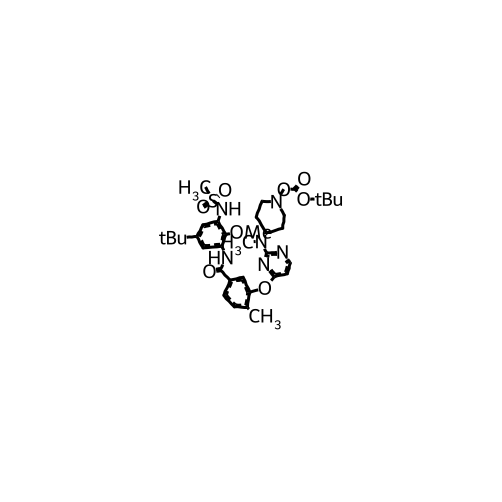 COc1c(NC(=O)c2ccc(C)c(Oc3ccnc(N(C)C4CCN(OC(=O)OC(C)(C)C)CC4)n3)c2)cc(C(C)(C)C)cc1NS(C)(=O)=O